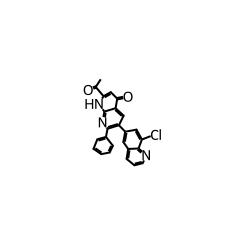 CC(=O)c1cc(=O)c2cc(-c3cc(Cl)c4ncccc4c3)c(-c3ccccc3)nc2[nH]1